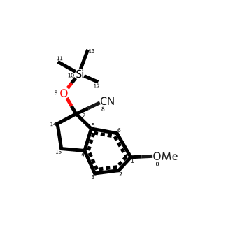 COc1ccc2c(c1)C(C#N)(O[Si](C)(C)C)CC2